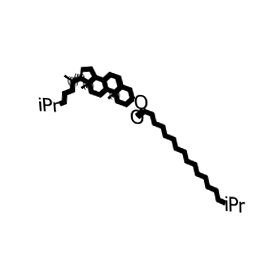 CC(C)CCCCCCCCCCCCCCC(=O)OC1CC[C@@]2(C)C(=CCC3C2CC[C@@]2(C)C3CC[C@@H]2[C@H](C)CCCC(C)C)C1